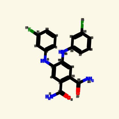 NC(=O)c1cc(Nc2cccc(F)c2)c(Nc2cccc(F)c2)cc1C(N)=O